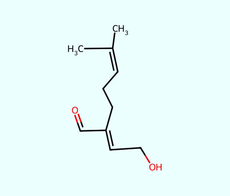 CC(C)=CCC/C(C=O)=C\CO